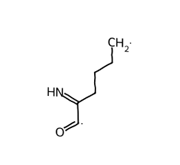 [CH2]CCCC(=N)[C]=O